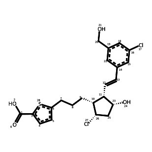 O=C(O)c1ccc(CCC[C@@H]2[C@H](C=Cc3cc(Cl)cc(CO)c3)[C@H](O)C[C@@H]2Cl)s1